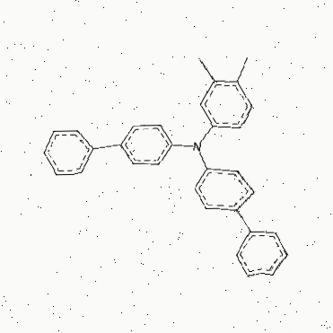 Cc1ccc(N(c2ccc(-c3ccccc3)cc2)c2ccc(-c3ccccc3)cc2)cc1C